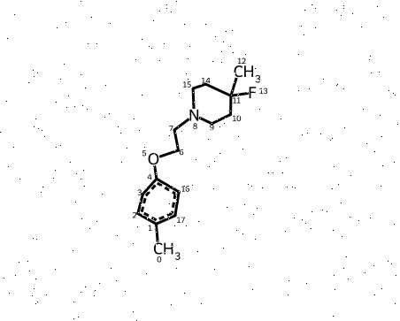 Cc1ccc(OCCN2CCC(C)(F)CC2)cc1